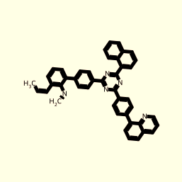 C=Nc1c(/C=C\C)cccc1-c1ccc(-c2nc(-c3ccc(-c4cccc5cccnc45)cc3)nc(-c3cccc4ccccc34)n2)cc1